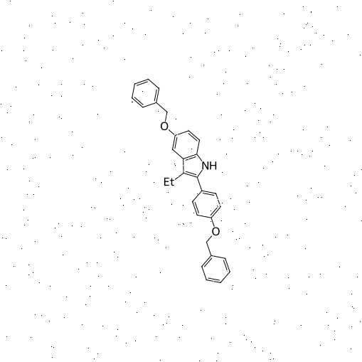 CCc1c(-c2ccc(OCc3ccccc3)cc2)[nH]c2ccc(OCc3ccccc3)cc12